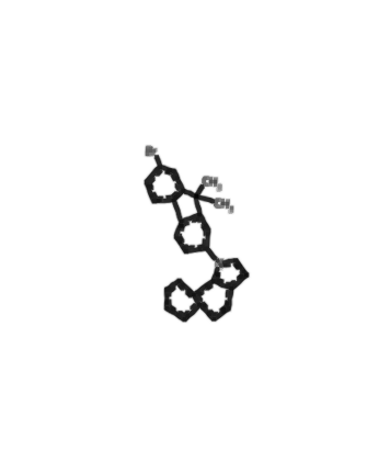 CC1(C)c2cc(Br)ccc2-c2ccc(-n3ccc4ccc5ccccc5c43)cc21